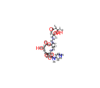 CCC(O)C(C)C1OC1CC(C)(O)/C=C/C=C(\C)C1OC(=O)CC(O)CCC(C)(OC)C(OC(=O)N(C)C2CCN(C)CC2)/C=C/C1C